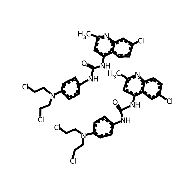 Cc1cc(NC(=O)Nc2ccc(N(CCCl)CCCl)cc2)c2cc(Cl)ccc2n1.Cc1cc(NC(=O)Nc2ccc(N(CCCl)CCCl)cc2)c2ccc(Cl)cc2n1